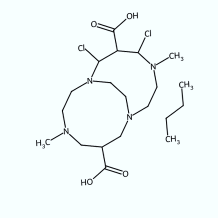 CCCC.CN1CCN2CCN(CCN(C)C(Cl)C(C(=O)O)C2Cl)CC(C(=O)O)C1